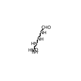 CCCNC(=O)CCNCCNCCCNCCC=O